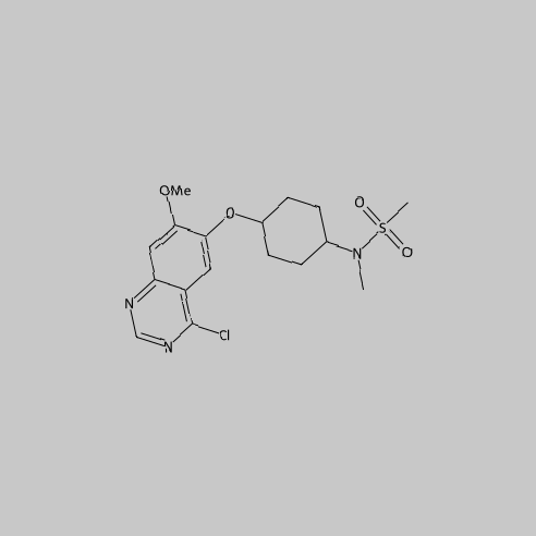 COc1cc2ncnc(Cl)c2cc1OC1CCC(N(C)S(C)(=O)=O)CC1